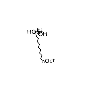 CCCCCCCCCCCCCCCCC[N+](O)(O)CC